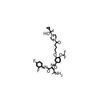 C[C@H](N)c1oc(-c2ccc(OC(F)F)c(OCCCCC(=O)N3CCN(C(O)(I)C4CC4)CC3)c2)nc1C(=O)NCc1ccc(F)cc1F